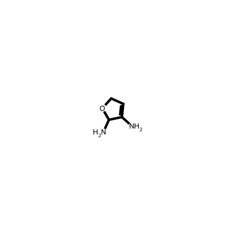 NC1=CCOC1N